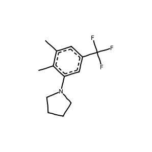 Cc1cc(C(F)(F)F)cc(N2CCCC2)c1C